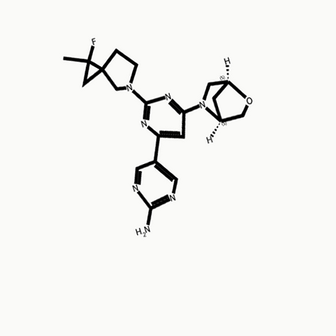 CC1(F)CC12CCN(c1nc(-c3cnc(N)nc3)cc(N3C[C@@H]4C[C@H]3CO4)n1)C2